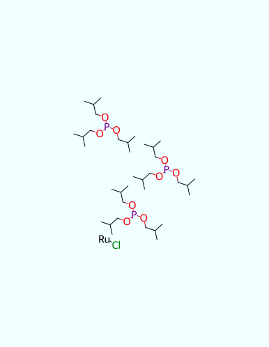 CC(C)COP(OCC(C)C)OCC(C)C.CC(C)COP(OCC(C)C)OCC(C)C.CC(C)COP(OCC(C)C)OCC(C)C.[Cl][Ru]